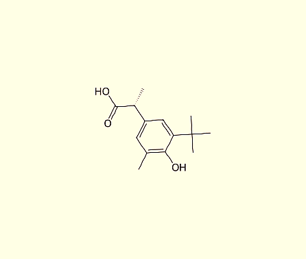 Cc1cc([C@@H](C)C(=O)O)cc(C(C)(C)C)c1O